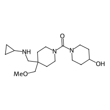 COCC1(CNC2CC2)CCN(C(=O)N2CCC(O)CC2)CC1